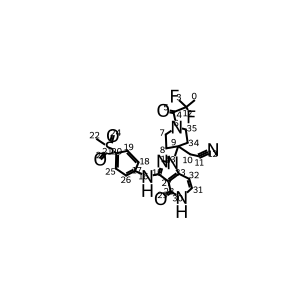 CC(F)(F)C(=O)N1CCC(CC#N)(n2nc(Nc3ccc(S(C)(=O)=O)cc3)c3c(=O)[nH]ccc32)CC1